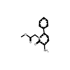 COC(=O)Cn1c(-c2ccccc2)ccc(N)c1=O